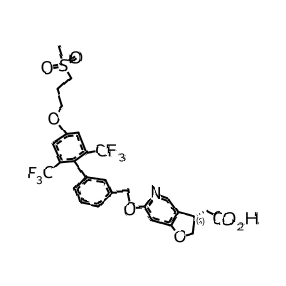 CS(=O)(=O)CCCOc1cc(C(F)(F)F)c(-c2cccc(COc3cc4c(cn3)[C@H](CC(=O)O)CO4)c2)c(C(F)(F)F)c1